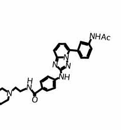 CC(=O)Nc1cccc(-c2cccc3nc(Nc4ccc(C(=O)NCCN5CCOCC5)cc4)nn23)c1